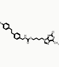 Cc1nc(Cl)nc2c1ncn2CCCCOC(=O)NCc1ccc(CCc2ccc(F)cc2)cc1